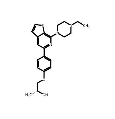 CCN1CCN(c2nc(-c3ccc(OC[C@@H](C)O)cc3)cc3ccsc23)CC1